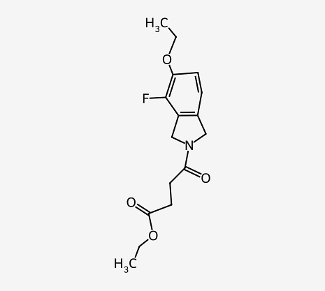 CCOC(=O)CCC(=O)N1Cc2ccc(OCC)c(F)c2C1